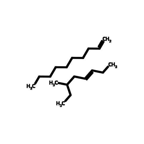 C=CCCCCCCCC.CCC=CCC(C)CC